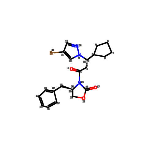 O=C(C[C@@H](C1CCCC1)n1cc(Br)cn1)N1C(=O)OC[C@H]1Cc1ccccc1